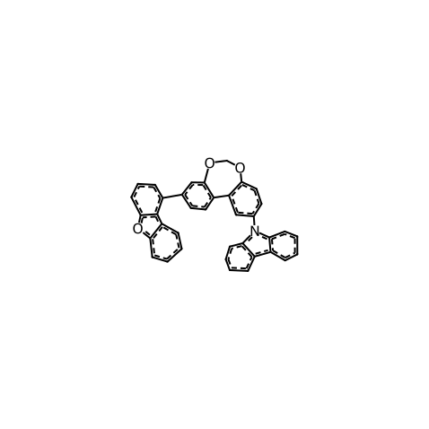 c1ccc2c(c1)oc1cccc(-c3ccc4c(c3)OCOc3ccc(-n5c6ccccc6c6ccccc65)cc3-4)c12